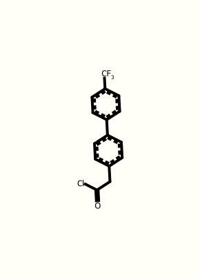 O=C(Cl)Cc1ccc(-c2ccc(C(F)(F)F)cc2)cc1